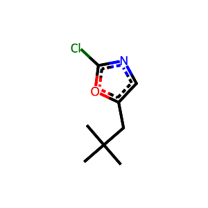 CC(C)(C)Cc1cnc(Cl)o1